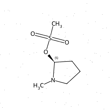 CN1CCC[C@@H]1OS(C)(=O)=O